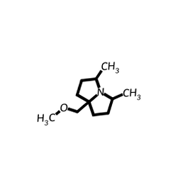 COCC12CCC(C)N1C(C)CC2